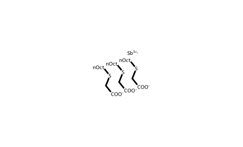 CCCCCCCCSCC(=O)[O-].CCCCCCCCSCC(=O)[O-].CCCCCCCCSCC(=O)[O-].[Sb+3]